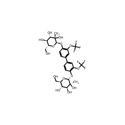 C[C@@]1(O)[C@@H](Oc2ccc(-c3ccc(O[C@H]4O[C@H](CO)[C@@H](O)[C@H](O)[C@]4(C)O)c(OC(F)(F)F)c3)cc2OC(F)(F)F)O[C@H](CO)[C@@H](O)[C@@H]1O